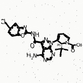 CC(C)(C)[C@@H]1C(n2nc(C(=O)Nc3nc4cc(Cl)ccc4o3)c3c(N)ncnc32)=CC=CN1C(=O)O